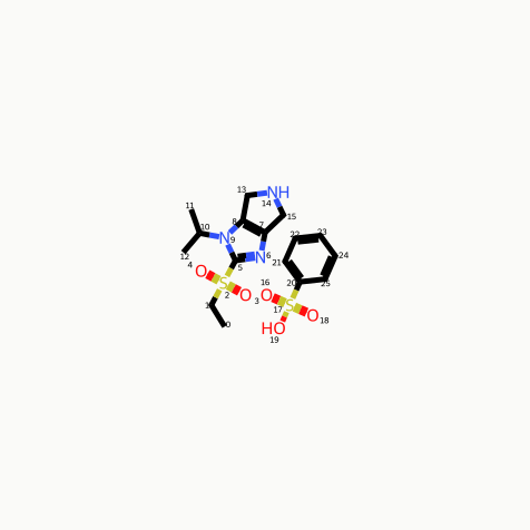 CCS(=O)(=O)c1nc2c(n1C(C)C)CNC2.O=S(=O)(O)c1ccccc1